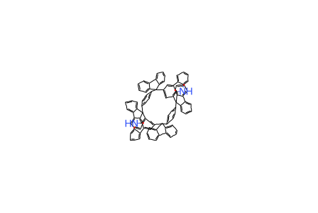 c1ccc2c(c1)-c1ccccc1C21c2ccc(cc2)C2(c3ccccc3-c3ccccc32)c2cc(cc3c2[nH]c2ccccc23)C2(c3ccc(cc3)C3(c4ccccc4-c4ccccc43)c3cc1cc1c3[nH]c3ccccc31)c1ccccc1-c1ccccc12